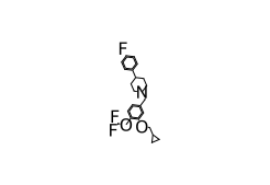 Fc1ccc(C2CCN(Cc3ccc(OC(F)F)c(OCC4CC4)c3)CC2)cc1